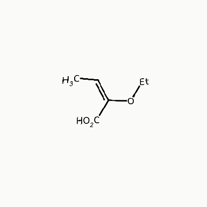 CC=C(OCC)C(=O)O